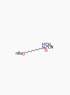 C=C(C#N)C(=O)NCCCCCCCCCCOCCCC